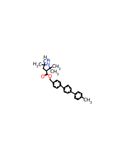 Cc1ccc(-c2ccc(-c3ccc(COC(=O)C4CC(C)(C)NC4(C)C)cc3)cc2)cc1